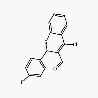 O=CC1=C(Cl)c2ccccc2SC1c1ccc(F)cc1